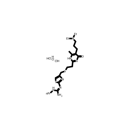 CCCNC(N)=Nc1nc(CSCCc2nc(=O)c(CCCN(CC)CC)c(C)[nH]2)cs1.Cl.Cl.Cl